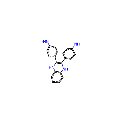 [NH]c1ccc(C2=C(c3ccc([NH])cc3)Nc3ccccc3N2)cc1